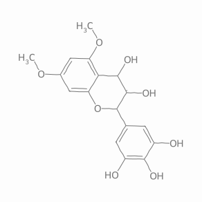 COc1cc(OC)c2c(c1)OC(c1cc(O)c(O)c(O)c1)[C](O)C2O